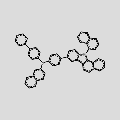 c1ccc(-c2ccc(N(c3ccc(-c4ccc5c(c4)c4ccc6ccccc6c4n5-c4cccc5ccccc45)cc3)c3ccc4ccccc4c3)cc2)cc1